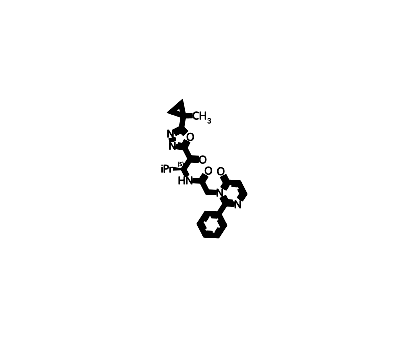 CC(C)[C@H](NC(=O)Cn1c(-c2ccccc2)nccc1=O)C(=O)c1nnc(C2(C)CC2)o1